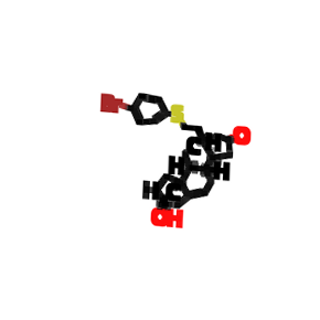 C[C@]12CC[C@H](O)CC1=CC[C@H]1[C@@H]3CC(=O)C[C@@]3(CCSc3ccc(Br)cc3)CC[C@@H]12